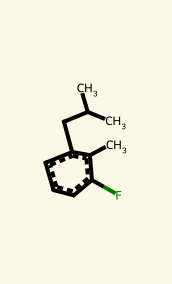 Cc1c(F)cccc1CC(C)C